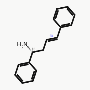 N[C@H](C/C=C/c1ccccc1)c1ccccc1